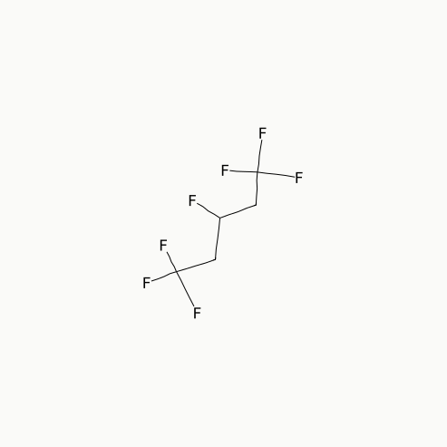 FC(CC(F)(F)F)CC(F)(F)F